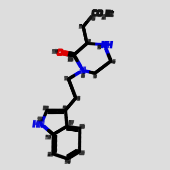 CCOC(=O)CC1NCCN(CCc2c[nH]c3ccccc23)C1=O